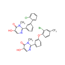 Cn1c(-c2cccc(-c3ccccc3Cl)c2)ncc(O)c1=O.Cn1c(-c2cccc(Oc3ccc(C(F)(F)F)cc3Br)c2)ncc(O)c1=O